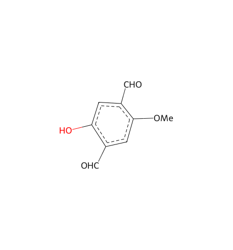 COc1cc(C=O)c(O)cc1C=O